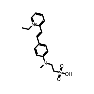 CC[n+]1ccccc1/C=C/c1ccc(N(C)CCS(=O)(=O)O)cc1